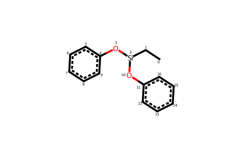 CC[Si](Oc1ccccc1)Oc1ccccc1